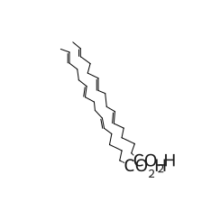 CC=CCCC=CCCC=CCCCCC(=O)O.CC=CCCC=CCCC=CCCCCC(=O)O